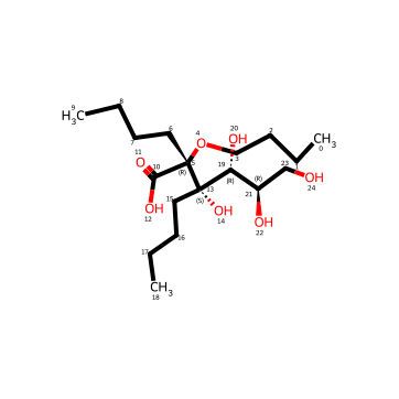 CCCCO[C@@](CCCC)(C(=O)O)[C@](O)(CCCC)[C@H](O)[C@H](O)CO